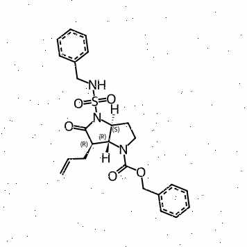 C=CC[C@H]1C(=O)N(S(=O)(=O)NCc2ccccc2)[C@H]2CCN(C(=O)OCc3ccccc3)[C@H]12